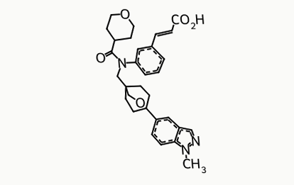 Cn1ncc2cc(C34CCC(CN(C(=O)C5CCOCC5)c5cccc(C=CC(=O)O)c5)(CC3)CO4)ccc21